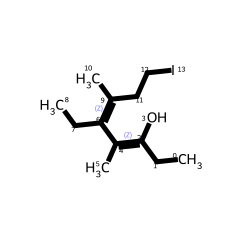 CC/C(O)=C(C)/C(CC)=C(/C)CCI